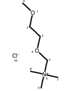 COCCOC[N+](C)(C)C.[Cl-]